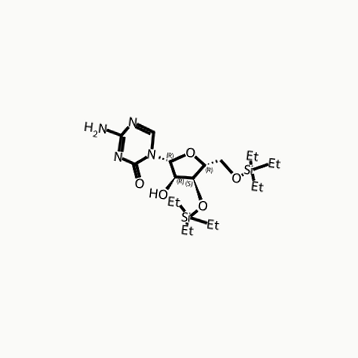 CC[Si](CC)(CC)OC[C@H]1O[C@@H](n2cnc(N)nc2=O)[C@H](O)[C@@H]1O[Si](CC)(CC)CC